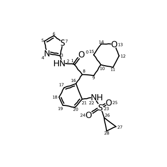 O=C(Nc1nccs1)C(CC1CCOCC1)c1ccccc1NS(=O)(=O)C1CC1